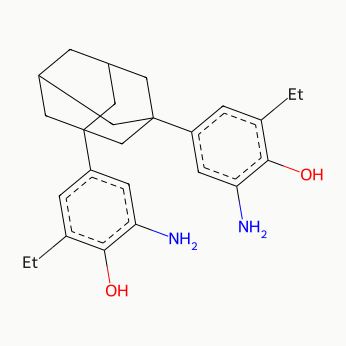 CCc1cc(C23CC4CC(C2)CC(c2cc(N)c(O)c(CC)c2)(C4)C3)cc(N)c1O